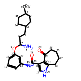 CC(C)(C)C1CCC(CCC(N)Oc2cccc(NC(=O)c3c[nH]c4c3C(=O)CCCC4)c2)CC1